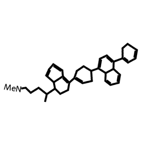 CNCCCC(C)C1CCC(C2=CCC(C3=CC=C(C4=CC=CCC4)C4C=CC=CC34)CC2)=C2C=CC=CC21